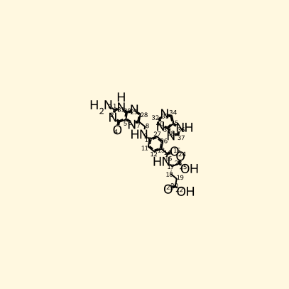 Nc1nc(=O)c2nc(CNc3ccc(C(=O)N[C@@H](CCC(=O)O)C(=O)O)cc3)cnc2[nH]1.c1ncc2[nH]cnc2n1